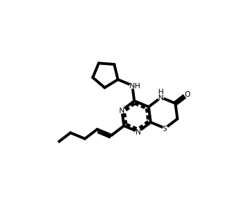 CCC/C=C/c1nc(NC2CCCC2)c2c(n1)SCC(=O)N2